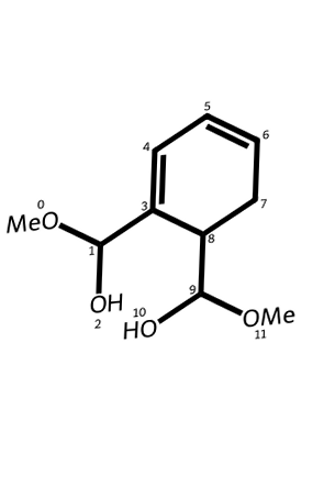 COC(O)C1=CC=CCC1C(O)OC